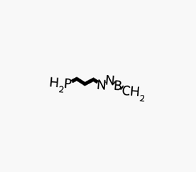 C=BN=NCCCP